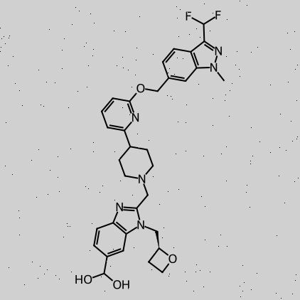 Cn1nc(C(F)F)c2ccc(COc3cccc(C4CCN(Cc5nc6ccc(C(O)O)cc6n5C[C@@H]5CCO5)CC4)n3)cc21